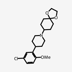 COc1ccc(Cl)cc1C1CCN(C2CCC3(CC2)OCCO3)CC1